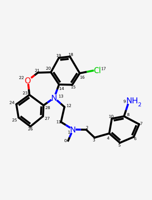 CN(CCc1cccc(N)c1)CCN1c2cc(Cl)ccc2COc2ccccc21